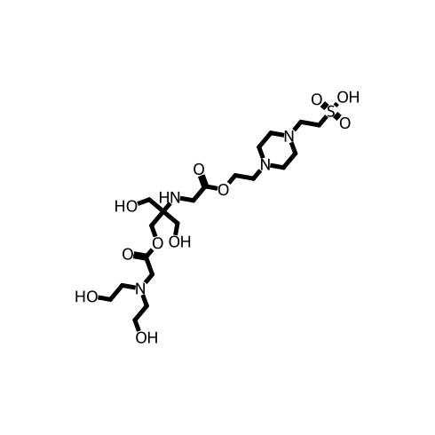 O=C(CNC(CO)(CO)COC(=O)CN(CCO)CCO)OCCN1CCN(CCS(=O)(=O)O)CC1